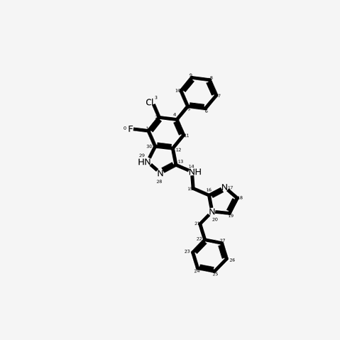 Fc1c(Cl)c(-c2ccccc2)cc2c(NCc3nccn3Cc3ccccc3)n[nH]c12